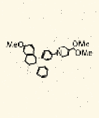 COc1ccc2c(c1)C[C@@H](C)[C@@H](c1ccccc1)[C@H]2c1ccc(N2CCC(C(OC)OC)CC2)cc1